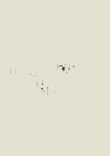 COc1ccc2c(cc(C(=O)CC3(c4ccc(S(=O)(=O)NC(C)=O)cc4)COC3)n2C)c1Cl